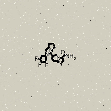 NC(=O)c1cnc2ccc(C3N4CCCC4=CN3c3cc(F)c(F)c(F)c3)cn12